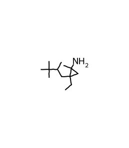 CCC1(CC(C)C(C)(C)C)CC1(C)N